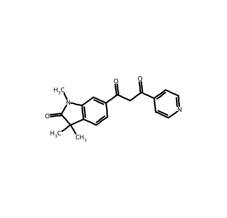 CN1C(=O)C(C)(C)c2ccc(C(=O)CC(=O)c3ccncc3)cc21